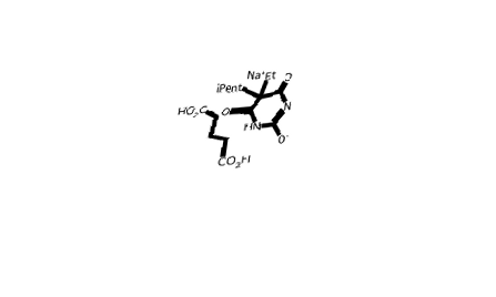 CCCC(C)C1(CC)C(=O)N=C([O-])NC1=O.O=C(O)CCCC(=O)O.[Na+]